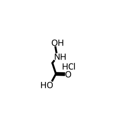 Cl.O=C(O)CNO